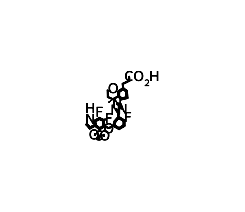 C[C@@]1(n2cnc(-c3cc(Oc4c(F)c(F)c5[nH]ccc5c4S(C)(=O)=O)ccc3F)n2)CCOc2c(CCC(=O)O)cccc21